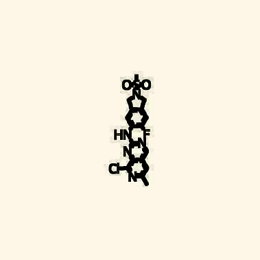 Cc1cc2cnc(Nc3cc4c(cc3F)CN(S(C)(=O)=O)C4)nc2c(Cl)n1